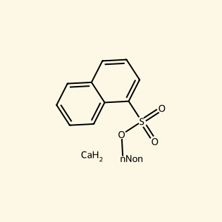 CCCCCCCCCOS(=O)(=O)c1cccc2ccccc12.[CaH2]